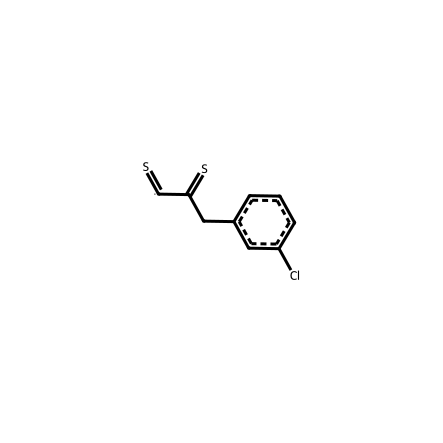 S=[C]C(=S)Cc1cccc(Cl)c1